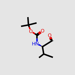 CC(C)[C@H]([C]=O)NC(=O)OC(C)(C)C